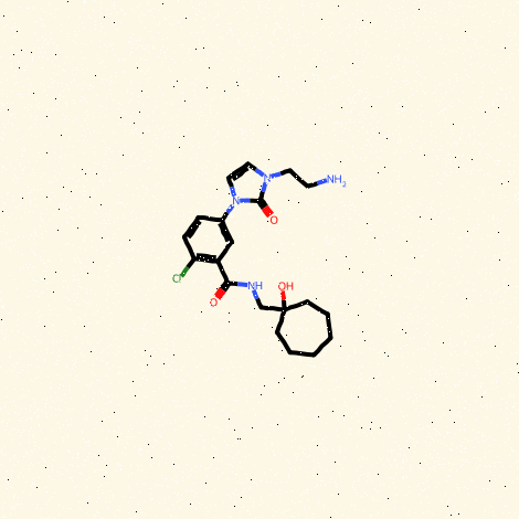 NCCn1ccn(-c2ccc(Cl)c(C(=O)NCC3(O)CCCCCC3)c2)c1=O